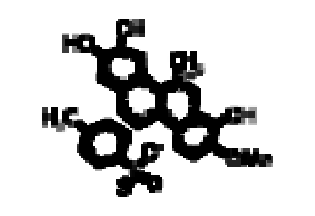 COc1ccc2c(c[n+](C)c3c4cc(O)c(O)cc4ccc23)c1O.Cc1ccc(S(=O)(=O)[O-])cc1